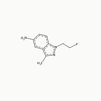 Cc1nn(CCF)c2ccc([N+](=O)[O-])cc12